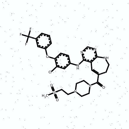 CS(=O)(=O)CCN1CCN(C(=O)C2=Cc3c(ncnc3Nc3ccc(Oc4cccc(C(F)(F)F)c4)c(Cl)c3)NCC2)CC1